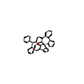 c1ccc(N(c2ccccc2)c2ccc3c(c2)C2(c4ccccc4-c4ccccc4-3)c3ccccc3-c3ccccc32)cc1